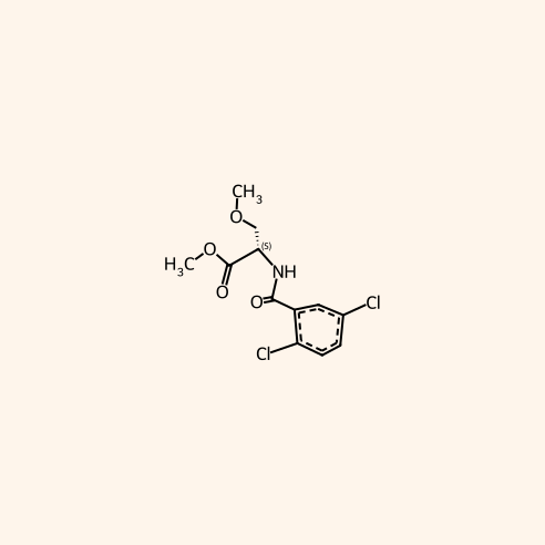 COC[C@H](NC(=O)c1cc(Cl)ccc1Cl)C(=O)OC